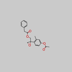 CC(=O)Oc1ccc(C2(COC(=O)Cc3ccccc3)CO2)c(C)c1